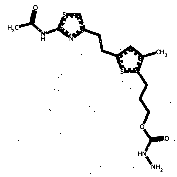 CC(=O)Nc1nc(CCc2cc(C)c(CCCOC(=O)NN)s2)cs1